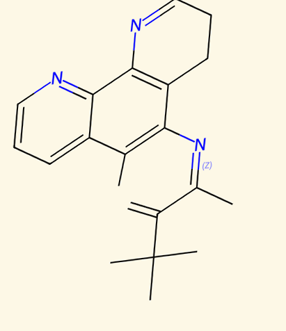 C=C(/C(C)=N\c1c2c(c3ncccc3c1C)N=CCC2)C(C)(C)C